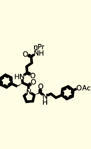 CCCNC(=O)CCC(=O)N[C@@H](Cc1ccccc1)C(=O)N1CCC[C@H]1C(=O)NCCc1ccc(OC(C)=O)cc1